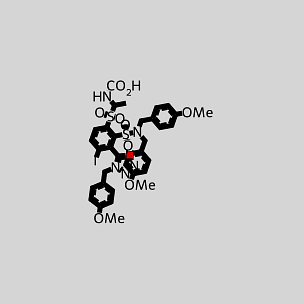 COc1ccc(CN(Cc2ccc(OC)cc2)S(=O)(=O)c2c(S(=O)(=O)C(C)NC(=O)O)ccc(I)c2-c2nnnn2Cc2ccc(OC)cc2)cc1